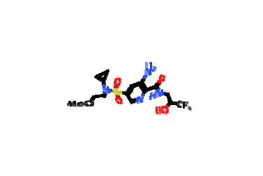 COCCN(C1CC1)S(=O)(=O)c1cnc(C(=O)NCC(O)C(F)(F)F)c(N)c1